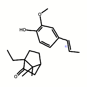 C/C=C/c1ccc(O)c(OC)c1.CCC12CCC(CC1=O)C2(C)C